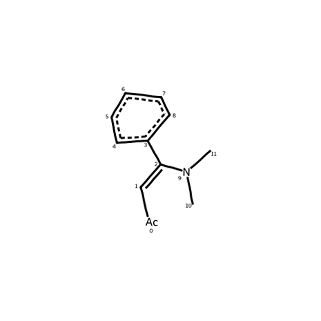 CC(=O)C=C(c1ccccc1)N(C)C